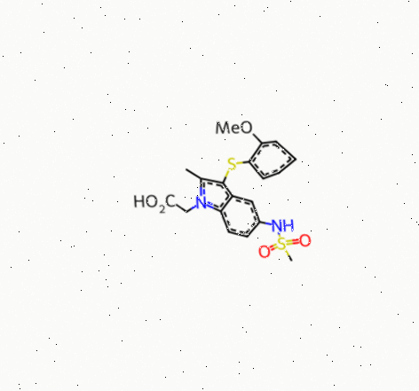 COc1ccccc1Sc1c(C)n(CC(=O)O)c2ccc(NS(C)(=O)=O)cc12